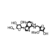 COc1c(O)coc1CNc1ncnc2c1ncn2C1O[C@H](CO)[C@@H](O)[C@@H]1O